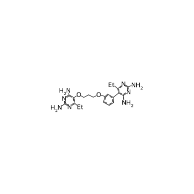 CCc1nc(N)nc(N)c1OCCCOc1cccc(-c2c(N)nc(N)nc2CC)c1